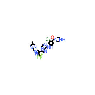 Cc1cnc(Cn2cc(-c3cnc4c(Nc5ccc(C(=O)N6CCNCC6)c(Cl)c5)nccn34)c(C(F)(F)F)n2)nc1